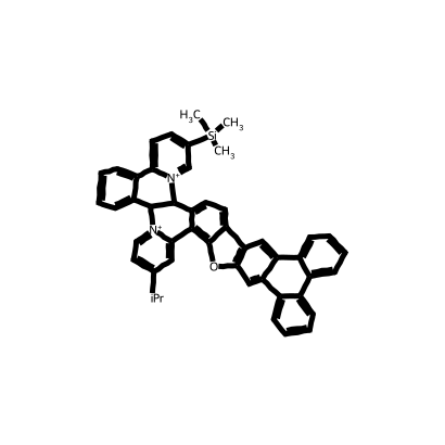 CC(C)c1cc[n+]2c(c1)-c1c(ccc3c1oc1cc4c5ccccc5c5ccccc5c4cc13)C1C2c2ccccc2-c2ccc([Si](C)(C)C)c[n+]21